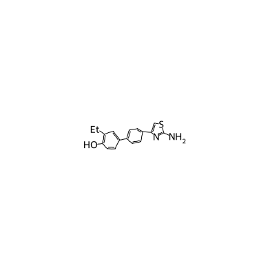 CCc1cc(-c2ccc(-c3csc(N)n3)cc2)ccc1O